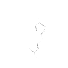 CC(=O)C=CSc1ncc(Cl)cn1